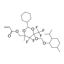 C=CC(=O)OCC1(C)OC(C2CCCCC2)OC(OCOC2CC(C)CCC2C(C)C)(C(F)(F)F)C1(F)F